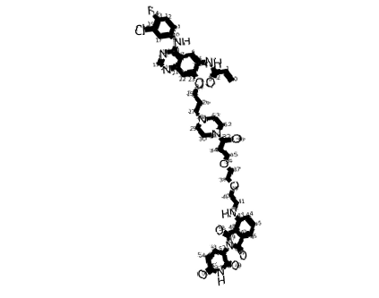 C=CC(=O)Nc1cc2c(Nc3ccc(F)c(Cl)c3)ncnc2cc1OCCCN1CCN(C(=O)CCOCCOCCNc2cccc3c2C(=O)N(C2CCC(=O)NC2=O)C3=O)CC1